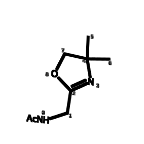 CC(=O)NCC1=NC(C)(C)CO1